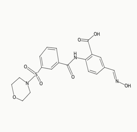 O=C(Nc1ccc(C=NO)cc1C(=O)O)c1cccc(S(=O)(=O)N2CCOCC2)c1